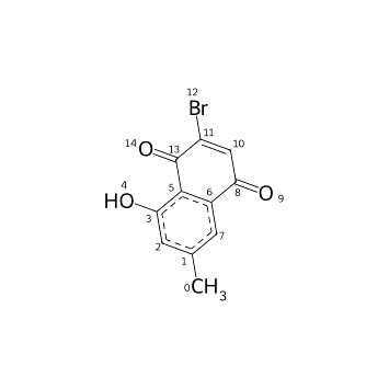 Cc1cc(O)c2c(c1)C(=O)C=C(Br)C2=O